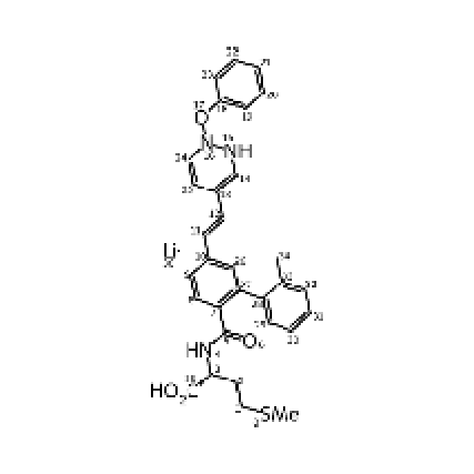 CSCC[C@H](NC(=O)c1ccc(C=CC2=CNN(Oc3ccccc3)C=C2)cc1-c1ccccc1C)C(=O)O.[Li]